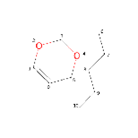 C1=COCOC1.CCCCC